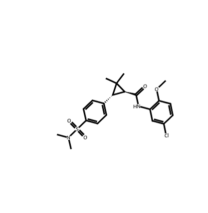 COc1ccc(Cl)cc1NC(=O)[C@H]1[C@H](c2ccc(S(=O)(=O)N(C)C)cc2)C1(C)C